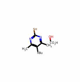 CCCCc1c(C)nc(S)nc1C.O=C(O)O